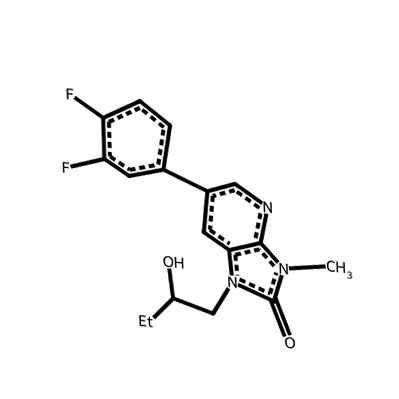 CCC(O)Cn1c(=O)n(C)c2ncc(-c3ccc(F)c(F)c3)cc21